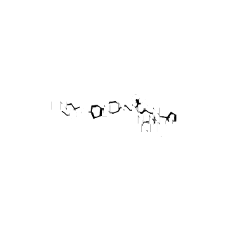 Nc1nc2c(sc(=O)n2CCN2CCN(c3ccc(OCC4CNCCO4)cc3F)CC2)c2nc(-c3ccco3)nn12